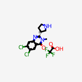 Cn1c([C@@H]2CCNC2)nc2cc(Cl)c(Cl)cc2c1=O.O=C(O)C(F)(F)F